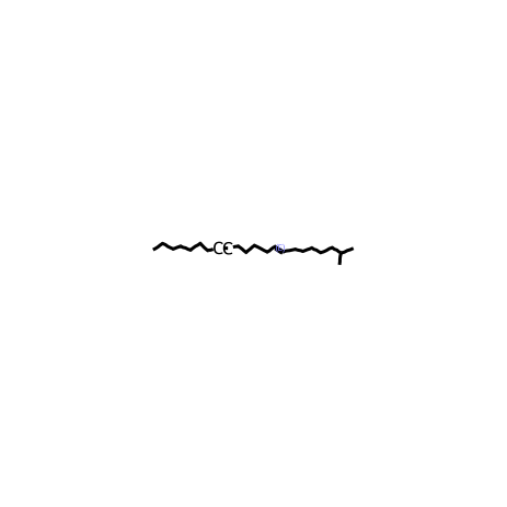 CCCCCCCCCCCCC/C=C/CCCCCC(C)C